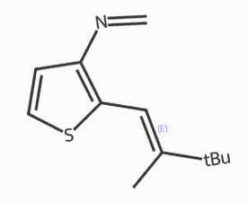 C=Nc1ccsc1/C=C(\C)C(C)(C)C